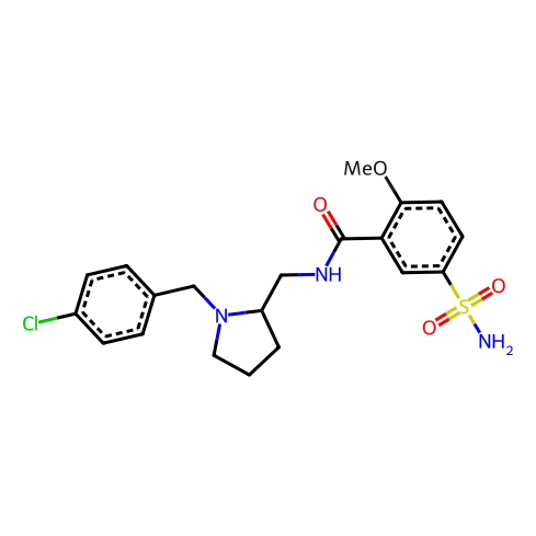 COc1ccc(S(N)(=O)=O)cc1C(=O)NCC1CCCN1Cc1ccc(Cl)cc1